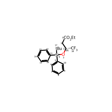 CCOC(=O)C[C@@H](O[Si](c1ccccc1)(c1ccccc1)C(C)(C)C)C(F)(F)F